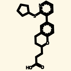 O=C(O)CCC1CCc2cc(-c3cccnc3SC3CCCC3)ccc2O1